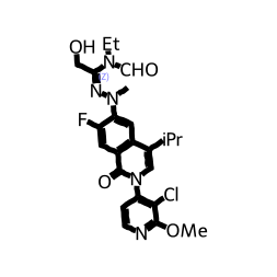 CCN(C=O)/C(CO)=N\N(C)c1cc2c(C(C)C)cn(-c3ccnc(OC)c3Cl)c(=O)c2cc1F